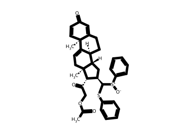 CC(=O)OCC(=O)[C@H]1[C@H](C(Sc2ccccc2)[S+]([O-])c2ccccc2)C[C@H]2[C@@H]3CCC4=CC(=O)C=C[C@]4(C)C3=CC[C@@]21C